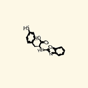 O=C(O)[C@H](Cc1ccc(S)cc1)Nc1nc2ccccc2o1